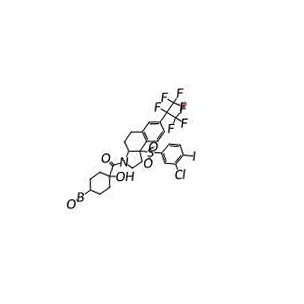 O=BC1CCC(O)(C(=O)N2CCC3(S(=O)(=O)c4ccc(I)c(Cl)c4)c4ccc(C(F)(C(F)(F)F)C(F)(F)F)cc4CCC23)CC1